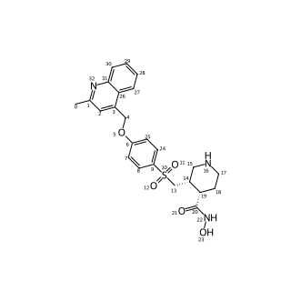 Cc1cc(COc2ccc(S(=O)(=O)C[C@@H]3CNCC[C@@H]3C(=O)NO)cc2)c2ccccc2n1